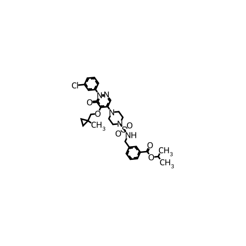 CC(C)OC(=O)c1cccc(CNS(=O)(=O)N2CCN(c3cnn(-c4cccc(Cl)c4)c(=O)c3OCC3(C)CC3)CC2)c1